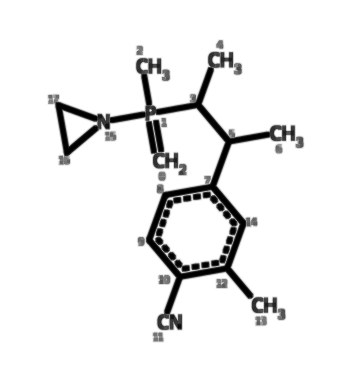 C=P(C)(C(C)C(C)c1ccc(C#N)c(C)c1)N1CC1